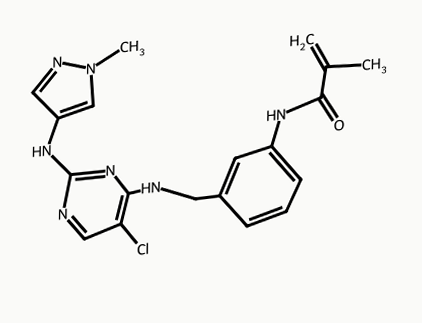 C=C(C)C(=O)Nc1cccc(CNc2nc(Nc3cnn(C)c3)ncc2Cl)c1